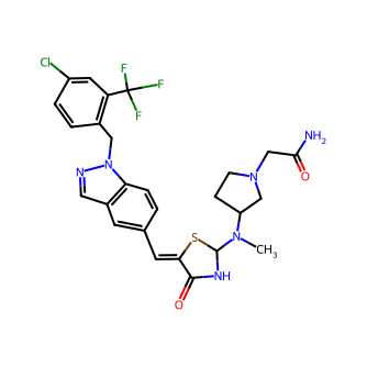 CN(C1CCN(CC(N)=O)C1)C1NC(=O)/C(=C/c2ccc3c(cnn3Cc3ccc(Cl)cc3C(F)(F)F)c2)S1